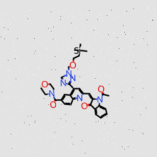 CC(=O)N1C(=Cc2cc(-c3ncn(COCC[Si](C)(C)C)n3)c3cc(C(=O)N4CCOCC4)ccc3n2)C(=O)c2ccccc21